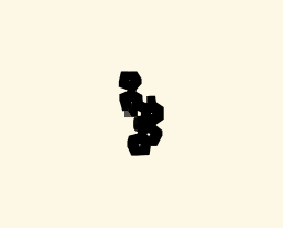 Cc1ccc2c(oc3c4ccccc4ccc23)c1-c1cc(C2CCCC2)ccn1